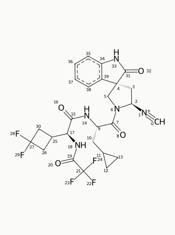 C#[N+][C@@H]1C[C@@]2(CN1C(=O)[C@H](CC1CC1)NC(=O)[C@@H](NC(=O)C(F)(F)F)C1CC(F)(F)C1)C(=O)Nc1ccccc12